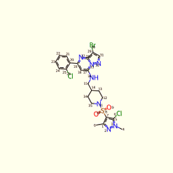 Cc1nn(C)c(Cl)c1S(=O)(=O)N1CCC(CNc2cc(-c3ccccc3Cl)nc3c(Br)cnn23)CC1